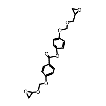 O=C(Oc1ccc(OCOCC2CO2)cc1)c1ccc(OCOC2CO2)cc1